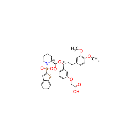 COc1ccc(CC[C@@H](OC(=O)[C@@H]2CCCCN2S(=O)(=O)c2cc3ccccc3s2)c2cccc(OCC(=O)O)c2)cc1OC